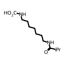 CC(C)C(=O)NCCCCCCCNC(=O)O